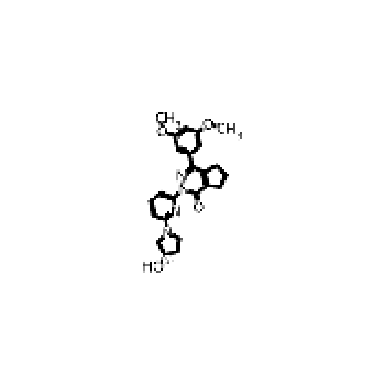 COc1cc(OC)cc(-c2nn(-c3cccc(N4CC[C@H](O)C4)n3)c(=O)c3c2CCC3)c1